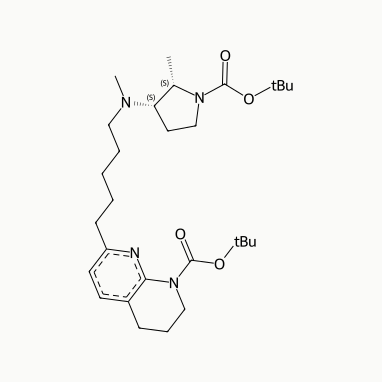 C[C@H]1[C@@H](N(C)CCCCCc2ccc3c(n2)N(C(=O)OC(C)(C)C)CCC3)CCN1C(=O)OC(C)(C)C